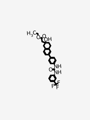 CCOC(=O)CC1(O)CCc2cc(-c3ccc(NC(=O)Nc4cccc(C(F)(F)F)c4)cc3)ccc2C1